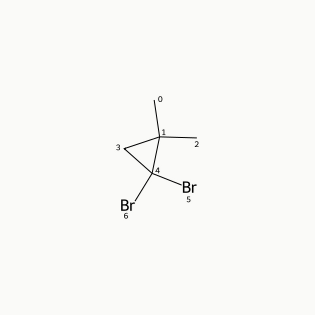 CC1(C)CC1(Br)Br